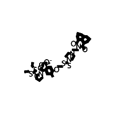 CCSC(SCC)[C@@H]1CCCN1C(=O)c1cc(C)c(OCCSC(=S)N2CCN(CCN3C(=O)c4cccc5cccc(c45)C3=O)CC2)cc1[N+](=O)[O-]